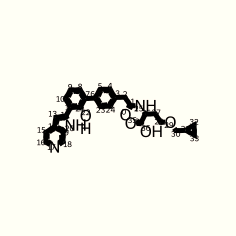 O=C(Cc1ccc(-c2cccc(-c3cc4ccncc4[nH]3)c2O)cc1)NC(CCOCC1CC1)C(=O)O